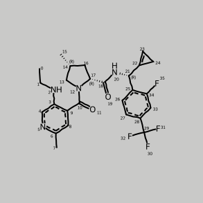 CCNc1cnc(C)cc1C(=O)N1C[C@H](C)C[C@@H]1C(=O)N[C@H](C1=CC1)c1ccc(C(F)(F)F)cc1F